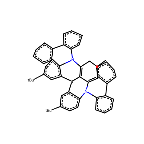 CC1C=C2C3=C(C1)N(c1ccccc1-c1ccccc1)c1ccc(C(C)(C)C)cc1B3c1cc(C(C)(C)C)ccc1N2c1ccccc1-c1ccccc1